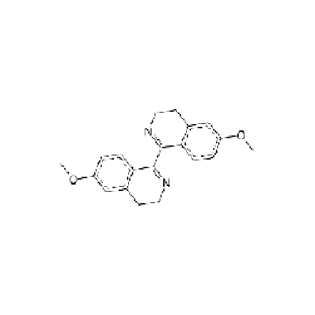 COc1ccc2c(c1)CCN=C2C1=NCCc2cc(OC)ccc21